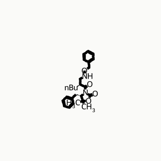 CCCC[C@H](CNOCc1ccccc1)C(=O)N1C(=O)OC(C)(C)[C@@H]1Cc1ccccc1